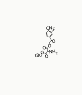 CC(C)(C)OC(=O)C(N)C(=O)OCC(=O)c1ccc(C#N)c(F)c1